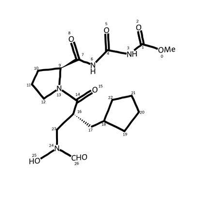 COC(=O)NC(=O)NC(=O)[C@@H]1CCCN1C(=O)[C@H](CC1CCCC1)CN(O)C=O